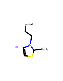 CCCCCCCN1C=CSC1C.I